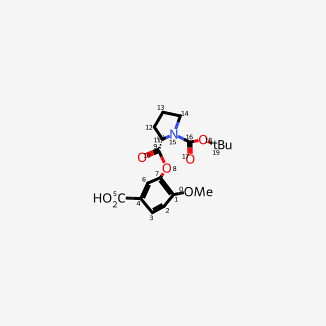 COc1ccc(C(=O)O)cc1OC(=O)[C@@H]1CCCN1C(=O)OC(C)(C)C